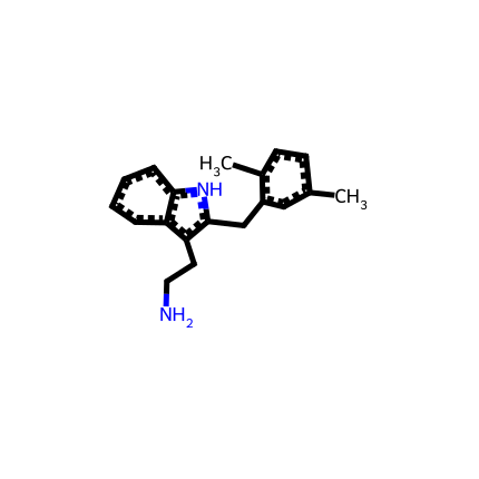 Cc1ccc(C)c(Cc2[nH]c3ccccc3c2CCN)c1